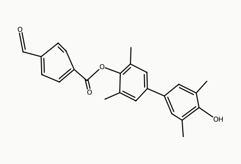 Cc1cc(-c2cc(C)c(OC(=O)c3ccc(C=O)cc3)c(C)c2)cc(C)c1O